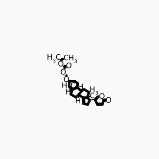 CC(C)OC(=O)OCO[C@H]1CC[C@@]2(C)[C@H](CC[C@H]3C4=CC[C@H](c5ccc(=O)oc5)[C@@]4(C)CC[C@@H]32)C1